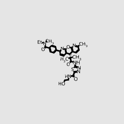 CCN(C)C(=O)c1ccc(-c2ccc3c(n2)Oc2nc(C)ccc2[C@@H]3C(C)(C)C(=O)Nc2nnc(C(=O)NCCO)s2)cc1